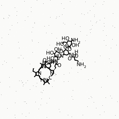 CCC1=C(C)c2cc3[nH]c(cc4nc(c(CC(=O)O)c5[nH]c(cc1n2)c(C)c5C(=O)O)[C@@H](CCC(=O)NCC1OC(OC2C(N)CC(NC(=O)[C@H](O)CCN)C(OC5OC(CO)C(O)C(N)C5O)C2O)C(O)C(O)C1O)[C@@H]4C)c(C)c3C